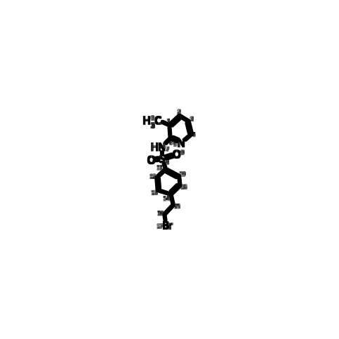 Cc1cccnc1NS(=O)(=O)c1ccc(CCBr)cc1